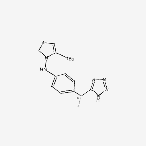 C[C@H](c1ccc(NN2CSC=C2C(C)(C)C)cc1)c1nnn[nH]1